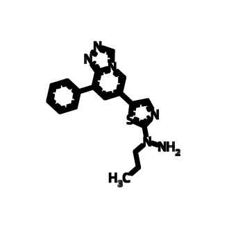 CCCN(N)c1ncc(-c2cc(-c3ccccc3)c3nncn3c2)s1